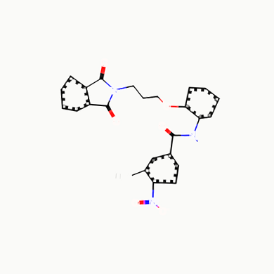 Cc1cc(C(=O)N(C)c2ccccc2OCCCN2C(=O)c3ccccc3C2=O)ccc1[N+](=O)[O-]